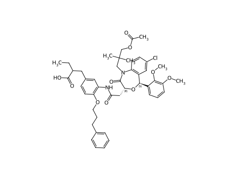 CCC(Cc1ccc(OCCCc2ccccc2)c(NC(=O)C[C@H]2O[C@H](c3cccc(OC)c3OC)c3cc(Cl)ccc3N(CC(C)(C)COC(C)=O)C2=O)c1)C(=O)O